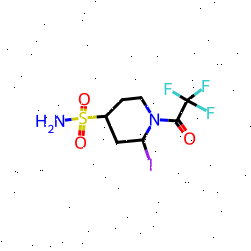 NS(=O)(=O)C1CCN(C(=O)C(F)(F)F)C(I)C1